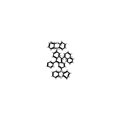 c1ccc(-c2c3cc(N4c5ccccc5Oc5ccccc54)ccc3c(-c3cccc4ccccc34)c3cc(N4c5ccccc5Oc5ccccc54)ccc23)cc1